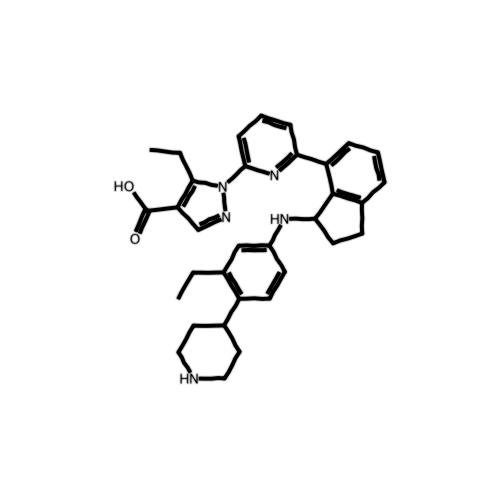 CCc1cc(NC2CCc3cccc(-c4cccc(-n5ncc(C(=O)O)c5CC)n4)c32)ccc1C1CCNCC1